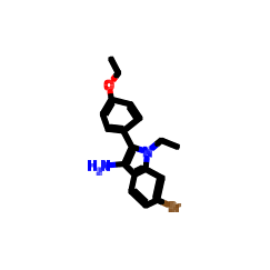 CCOc1ccc(-c2c(N)c3ccc(Br)cc3n2CC)cc1